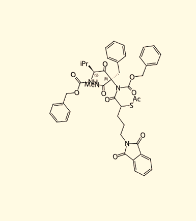 CNC(=O)[C@@](Cc1ccccc1)(C(=O)[C@@H](NC(=O)OCc1ccccc1)C(C)C)N(C(=O)OCc1ccccc1)C(=O)C(CCCN1C(=O)c2ccccc2C1=O)SC(C)=O